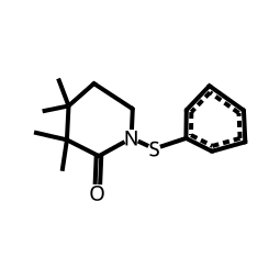 CC1(C)CCN(Sc2ccccc2)C(=O)C1(C)C